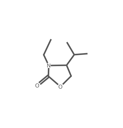 CCN1C(=O)OCC1C(C)C